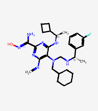 C=Nc1nc(/C(N)=N/O)nc(N[C@H](C)C2CCC2)c1N(CN[C@@H](C)c1cccc(F)c1)CC1CCCCC1